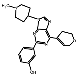 CN1CCC(n2cnc3c(C4=CCOCC4)nc(-c4cccc(O)c4)nc32)CC1